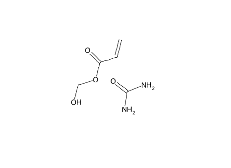 C=CC(=O)OCO.NC(N)=O